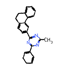 Cc1nc(C2=CCCC=C2)nc(-c2ccc3c(c2)-c2ccccc2CC3)n1